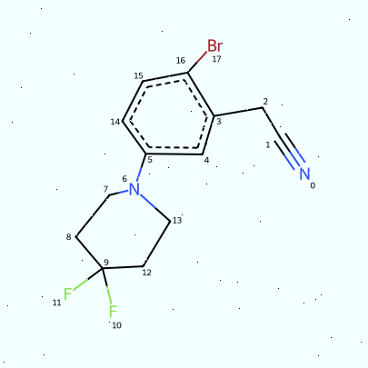 N#CCc1cc(N2CCC(F)(F)CC2)ccc1Br